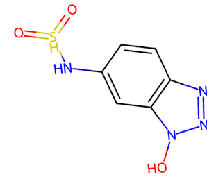 O=[SH](=O)Nc1ccc2nnn(O)c2c1